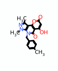 Cc1ccc(Cn2c(=O)c3c(O)cc(=O)oc3c3c(C)nn(C)c32)cc1